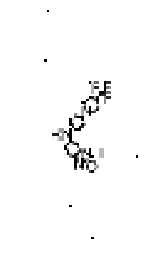 Cn1c(=O)[nH]c2cc(Nc3ccc(N4CCC(C(F)(F)F)CC4)cc3)ccc21